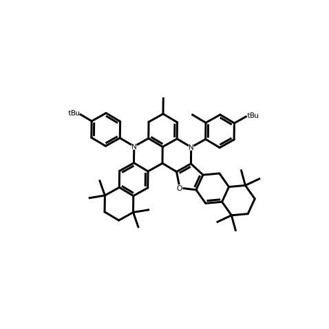 Cc1cc(C(C)(C)C)ccc1N1C2=CC(C)CC3=C2C(c2cc4c(cc2N3c2ccc(C(C)(C)C)cc2)C(C)(C)CCC4(C)C)c2oc3c(c21)CC1C(=C3)C(C)(C)CCC1(C)C